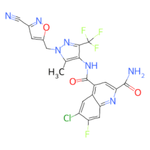 Cc1c(NC(=O)c2cc(C(N)=O)nc3cc(F)c(Cl)cc23)c(C(F)(F)F)nn1Cc1cc(C#N)no1